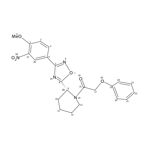 COc1ccc(-c2noc([C@H]3CCCCN3C(=O)COc3ccccc3)n2)cc1[N+](=O)[O-]